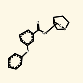 O=C(NC1CC2CCN(CC2)C1)c1cccc(Oc2ccccc2)c1